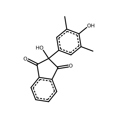 Cc1cc(C2(O)C(=O)c3ccccc3C2=O)cc(C)c1O